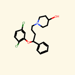 OC1CCN(CCCC(Oc2cc(Cl)ccc2Cl)c2ccccc2)CC1